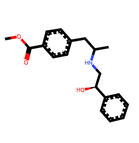 COC(=O)c1ccc(CC(C)NC[C@H](O)c2ccccc2)cc1